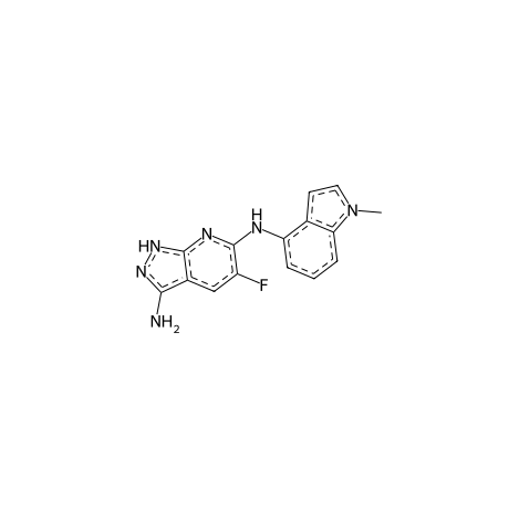 Cn1ccc2c(Nc3nc4[nH]nc(N)c4cc3F)cccc21